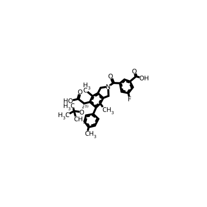 Cc1ccc(-c2c(C)c3c(c(C)c2[C@H](OC(C)(C)C)C(=O)O)CN(C(=O)c2cc(F)cc(C(=O)O)c2)C3)cc1